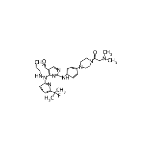 C=CCNN(c1cccc(C(C)(C)F)n1)c1nc(Nc2ccc(N3CCN(C(=O)CN(C)C)CC3)cc2)ncc1C=O